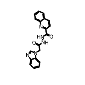 O=C(Cn1cnc2ccccc21)NNC(=O)c1ccc2ccccc2n1